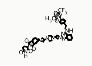 CS(=O)(=O)N(OC(=O)C(F)(F)F)c1ccc(CCNc2nc(N3CC(N4CCN(C5CN(c6ccc7c(c6)C(=O)N(C6CCC(=O)NC6=O)C7=O)C5)CC4)C3)nc3ccccc23)cc1